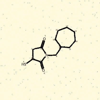 O=C1CC(S)C(=O)N1CC1CCCCCC1